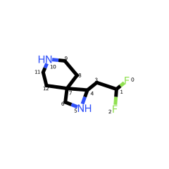 FC(F)CC1NCC12CCNCC2